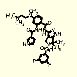 CN(C)CCN(C)c1ccc(C(=O)Nc2n[nH]c3c2CN(S(=O)(=O)c2cc(F)cc(F)c2)C3(C)C)c(NC(=O)c2cc[nH]c2)c1